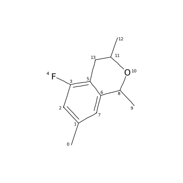 Cc1cc(F)c2c(c1)C(C)OC(C)C2